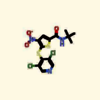 CC(C)(C)NC(=O)c1cc([N+](=O)[O-])c(Sc2c(Cl)cncc2Cl)s1